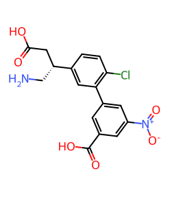 NC[C@H](CC(=O)O)c1ccc(Cl)c(-c2cc(C(=O)O)cc([N+](=O)[O-])c2)c1